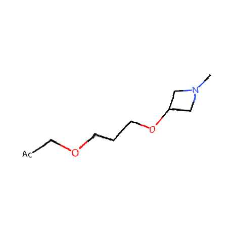 CC(=O)COCCCOC1CN(C)C1